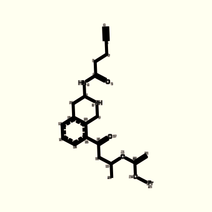 C#CCCC(=O)NC1BCc2c(cccc2C(=O)CC(C)OC(=C)OC(C)C)C1